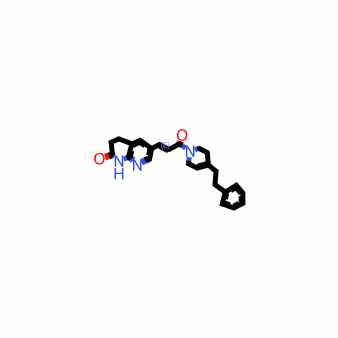 O=C1CCc2cc(/C=C/C(=O)N3CC=C(CCc4ccccc4)CC3)cnc2N1